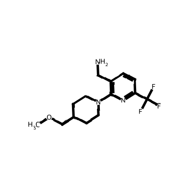 COCC1CCN(c2nc(C(F)(F)F)ccc2CN)CC1